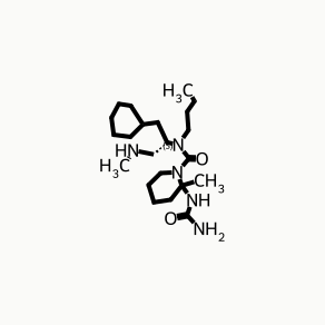 CCCCN(C(=O)N1CCCCC1(C)NC(N)=O)[C@H](CNC)CC1CCCCC1